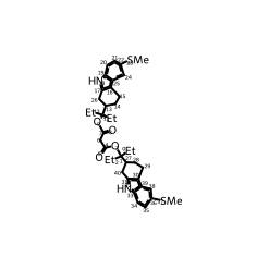 CCC(CC)(OC(=O)CC(=O)OC(CC)(CC)C1CCc2c([nH]c3ccc(SC)cc23)C1)C1CCc2c([nH]c3ccc(SC)cc23)C1